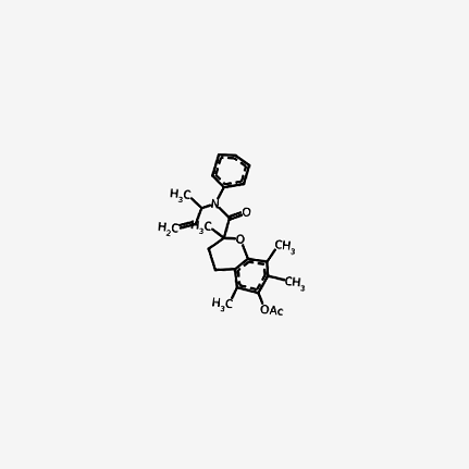 C=CC(C)N(C(=O)C1(C)CCc2c(C)c(OC(C)=O)c(C)c(C)c2O1)c1ccccc1